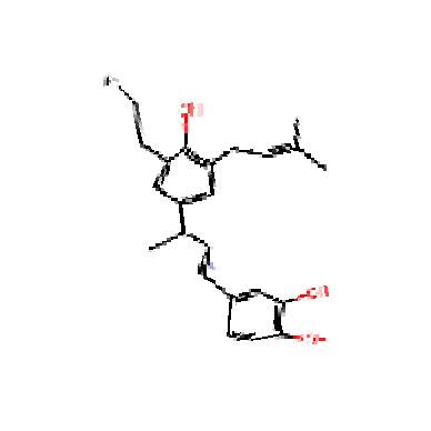 CC(C)=CCc1cc(C(C)/C=C/c2ccc(O)c(O)c2)cc(CCC(C)C)c1O